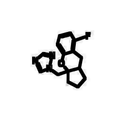 Fc1cccc2c1CC1CCCC1(Cn1cncn1)O2